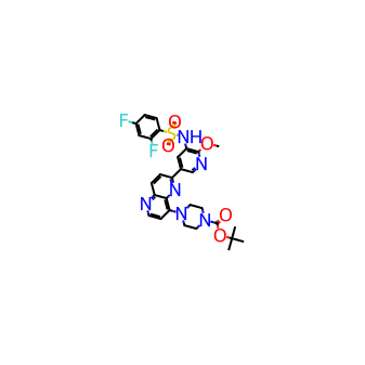 COc1ncc(-c2ccc3nccc(N4CCN(C(=O)OC(C)(C)C)CC4)c3n2)cc1NS(=O)(=O)c1ccc(F)cc1F